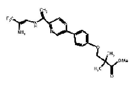 C=C(N/C=C(\N)C(F)(F)F)c1cnc(-c2ccc(OCC(C)(C)C(=O)OC)cc2)cn1